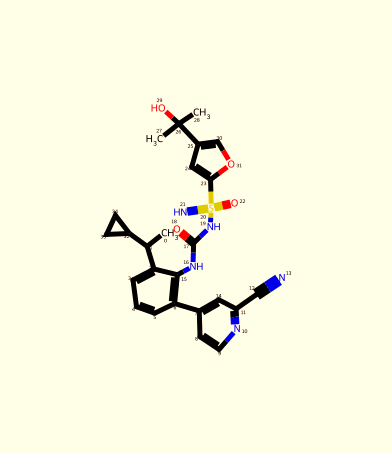 CC(c1cccc(-c2ccnc(C#N)c2)c1NC(=O)NS(=N)(=O)c1cc(C(C)(C)O)co1)C1CC1